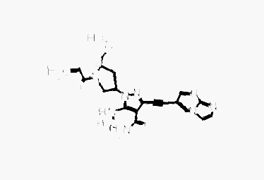 C=CC(=O)N1CC(n2nc(C#Cc3cnc4nccn4c3)c(C(N)=O)c2NC)C[C@@H]1COC